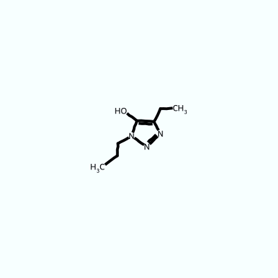 CCCn1nnc(CC)c1O